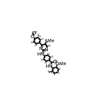 COc1cccc(C)c1NC(=O)c1ccc(Nc2ncc(SC)c(-c3ccc(OC(F)(F)F)cc3)n2)cc1